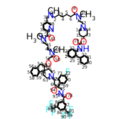 CN(CCCCCC(=O)N(C)CCN1CCC(OC(=O)Nc2ccccc2-c2ccccc2)CC1)Cc1ccc(C(=O)N(C)CCCN(C)C(=O)CO[C@H]2Cc3ccccc3C23CCN(CC[C@@]2(c4ccc(F)cc4)CN(C(=O)c4cc(C(F)(F)F)cc(C(F)(F)F)c4)CO2)CC3)nc1